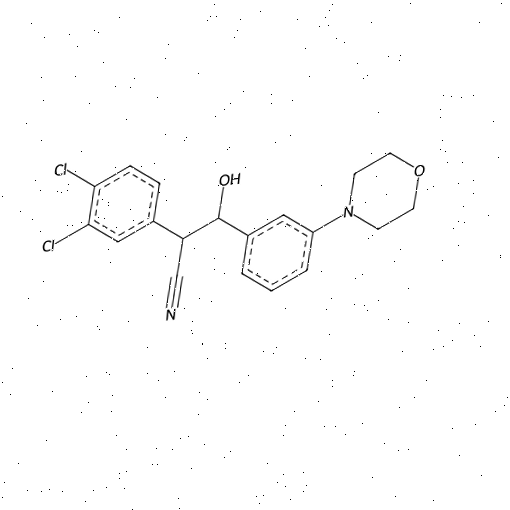 N#CC(c1ccc(Cl)c(Cl)c1)C(O)c1cccc(N2CCOCC2)c1